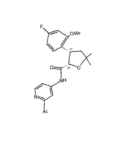 COc1cc(F)ccc1[C@@H]1CC(C)(C)O[C@@H]1C(=O)Nc1ccnc(C(C)=O)c1